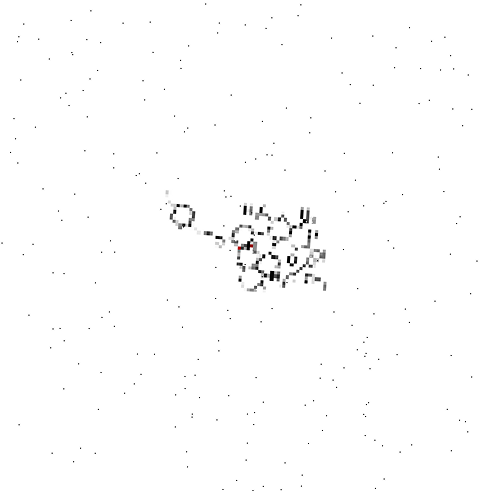 Cc1nc(C)c(C(OC(C)(C)C)C(=O)O)c(-c2ccc3c4c(ccnc24)CCO3)c1-c1ccc(OCCc2ccc(F)cc2)cc1